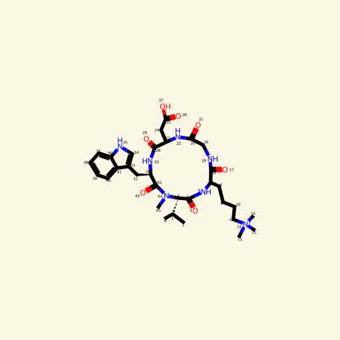 CC(C)[C@H]1C(=O)NC(CCCC[N+](C)(C)C)C(=O)NCC(=O)NC(CC(=O)O)C(=O)N[C@H](Cc2c[nH]c3ccccc23)C(=O)N1C